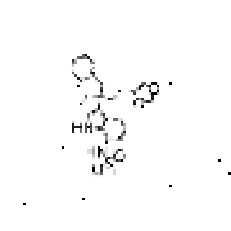 CCC(CCC1=COCO1)(Cc1ccccc1)c1c[nH]c2c(NS(C)(=O)=O)cccc12